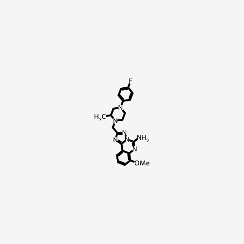 COc1cccc2c1nc(N)n1nc(CN3CCN(c4ccc(F)cc4)CC3C)nc21